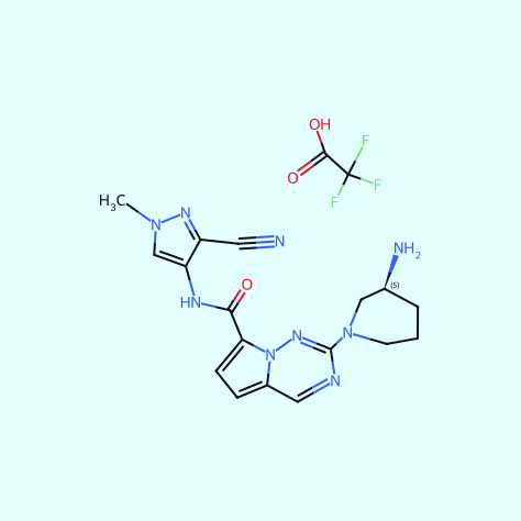 Cn1cc(NC(=O)c2ccc3cnc(N4CCC[C@H](N)C4)nn23)c(C#N)n1.O=C(O)C(F)(F)F